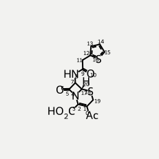 CC(=O)C1=C(C(=O)O)N2C(=O)C(NC(=O)Cc3cccs3)[C@@H]2SC1